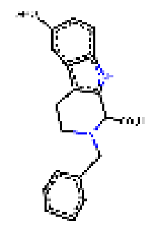 COc1ccc2[nH]c3c(c2c1)CCN(Cc1ccccc1)C3C(=O)O